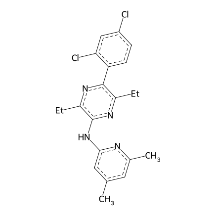 CCc1nc(-c2ccc(Cl)cc2Cl)c(CC)nc1Nc1cc(C)cc(C)n1